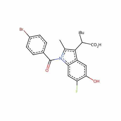 CCC(C)C(C(=O)O)c1c(C)n(C(=O)c2ccc(Br)cc2)c2cc(F)c(O)cc12